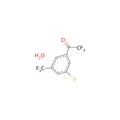 O.O=C(c1cc(F)cc(C(F)(F)F)c1)C(F)(F)F